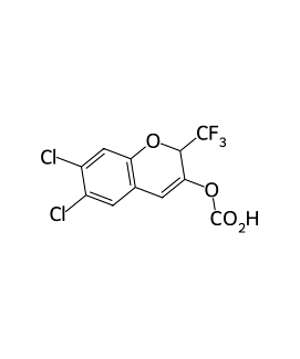 O=C(O)OC1=Cc2cc(Cl)c(Cl)cc2OC1C(F)(F)F